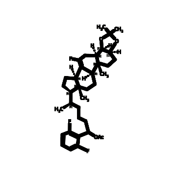 CC(=O)OC(CCC[C@@H](C)[C@H]1CC[C@H]2C3=C(F)C[C@H]4[C@H]5OC(C)(C)O[C@H]5CC[C@]4(C)[C@H]3CC[C@]12C)c1c(F)cccc1F